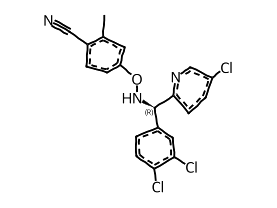 Cc1cc(ON[C@H](c2ccc(Cl)c(Cl)c2)c2ccc(Cl)cn2)ccc1C#N